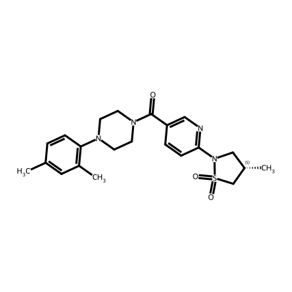 Cc1ccc(N2CCN(C(=O)c3ccc(N4C[C@H](C)CS4(=O)=O)nc3)CC2)c(C)c1